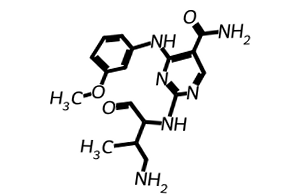 COc1cccc(Nc2nc(NC(C=O)C(C)CN)ncc2C(N)=O)c1